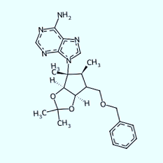 C[C@H]1C(COCc2ccccc2)[C@H]2OC(C)(C)O[C@H]2[C@]1(C)n1cnc2c(N)ncnc21